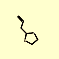 C=CCC1SCCS1